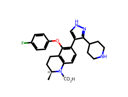 C[C@H]1CCc2c(ccc(-c3c[nH]nc3C3CCNCC3)c2Oc2ccc(F)cc2)N1C(=O)O